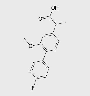 COc1cc(C(C)C(=O)O)ccc1-c1ccc(F)cc1